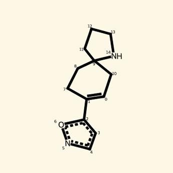 C1=C(c2ccno2)CCC2(C1)CCCN2